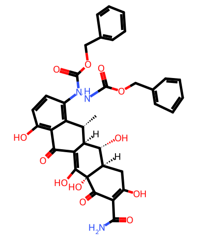 C[C@H]1c2c(N(NC(=O)OCc3ccccc3)C(=O)OCc3ccccc3)ccc(O)c2C(=O)C2=C(O)[C@]3(O)C(=O)C(C(N)=O)=C(O)C[C@@H]3[C@@H](O)[C@@H]21